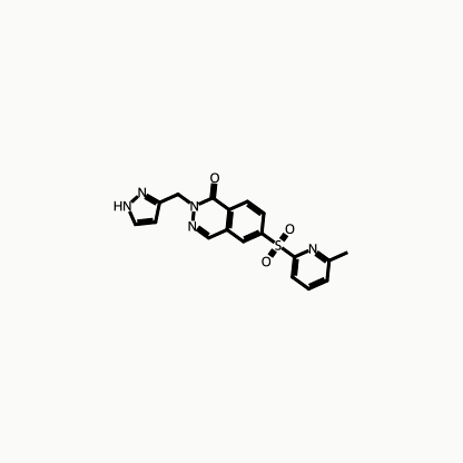 Cc1cccc(S(=O)(=O)c2ccc3c(=O)n(Cc4cc[nH]n4)ncc3c2)n1